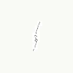 CCCCCCC=CCCCC(=O)Oc1cnc(-c2ccc(CCCCCOCCC)cc2)nc1